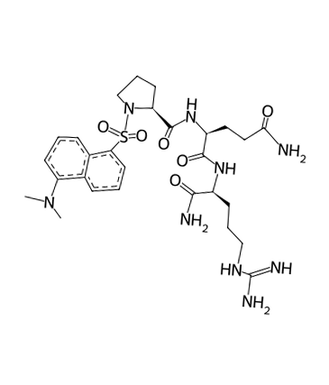 CN(C)c1cccc2c(S(=O)(=O)N3CCC[C@H]3C(=O)N[C@@H](CCC(N)=O)C(=O)N[C@@H](CCCNC(=N)N)C(N)=O)cccc12